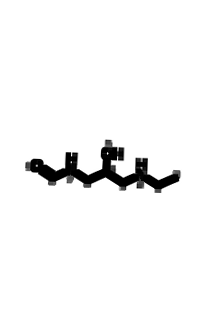 CCNCC(O)CNC=O